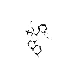 CCSCC(O)(C(Nc1cccc2nc(C)ccc12)c1ccccc1OC)C(F)(F)F